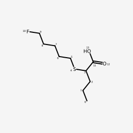 CCCC(SCCCCCF)C(=O)O